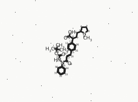 CN1CCCC1CCC(C(=O)O)c1ccc(C=CC(=O)N(NC(=O)OC(C)(C)C)c2ccccc2)cc1